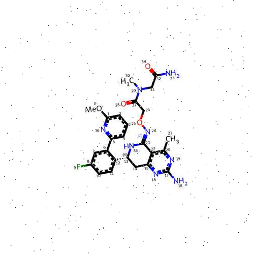 COc1cccc(-c2cc(F)ccc2[C@H]2Cc3nc(N)nc(C)c3/C(=N/OCC(=O)N(C)CC(N)=O)N2)n1